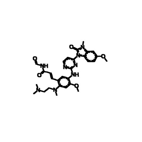 COc1ccc2c(c1)n(C)c(=O)n2-c1ccnc(Nc2cc(C=CC(=O)NC=O)c(N(C)CCN(C)C)cc2OC)n1